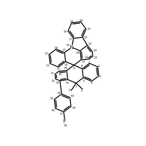 CC1(C)c2ccccc2C2(c3ccccc3-n3c4ccccc4c4cccc2c43)c2cccc(-c3ccc(F)cc3)c21